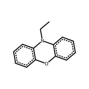 CCN1c2cc[c]cc2Oc2ccccc21